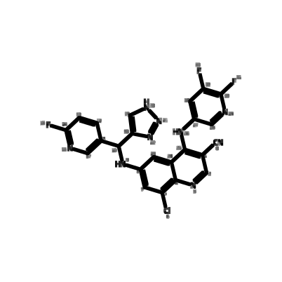 N#Cc1cnc2c(Cl)cc(NC(c3ccc(F)nc3)c3c[nH]nn3)cc2c1Nc1cnc(F)c(F)c1